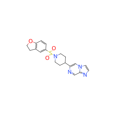 O=S(=O)(c1ccc2c(c1)CCO2)N1CCC(c2cn3ccnc3cn2)CC1